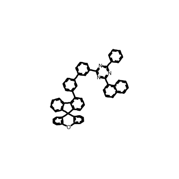 c1ccc(-c2nc(-c3cccc(-c4cccc(-c5cccc6c5-c5ccccc5C65c6ccccc6Oc6ccccc65)c4)c3)nc(-c3cccc4ccccc34)n2)cc1